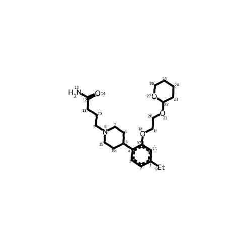 CCc1ccc(C2CCN(CCCC(N)=O)CC2)c(OCCOC2CCCCO2)c1